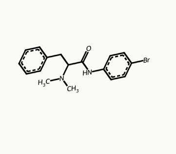 CN(C)C(Cc1ccccc1)C(=O)Nc1ccc(Br)cc1